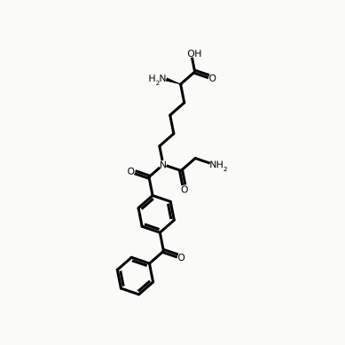 NCC(=O)N(CCCC[C@@H](N)C(=O)O)C(=O)c1ccc(C(=O)c2ccccc2)cc1